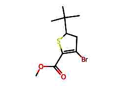 COC(=O)C1=C(Br)CC(C(C)(C)C)S1